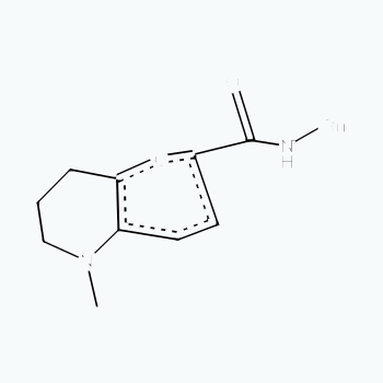 CCC(C)NC(=O)c1ccc2c(c1)CCCN2C